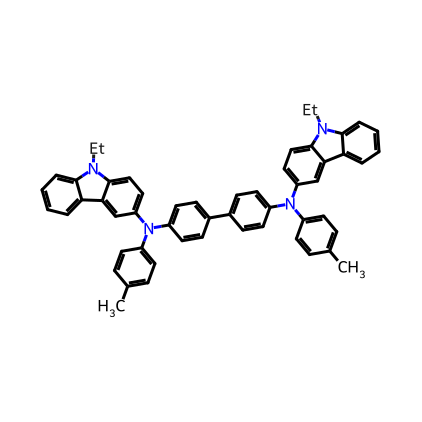 CCn1c2ccccc2c2cc(N(c3ccc(C)cc3)c3ccc(-c4ccc(N(c5ccc(C)cc5)c5ccc6c(c5)c5ccccc5n6CC)cc4)cc3)ccc21